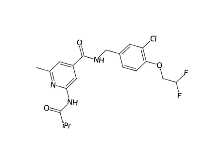 Cc1cc(C(=O)NCc2ccc(OCC(F)F)c(Cl)c2)cc(NC(=O)C(C)C)n1